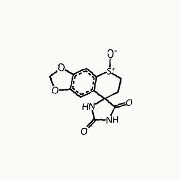 O=C1NC(=O)C2(CC[S+]([O-])c3cc4c(cc32)OCO4)N1